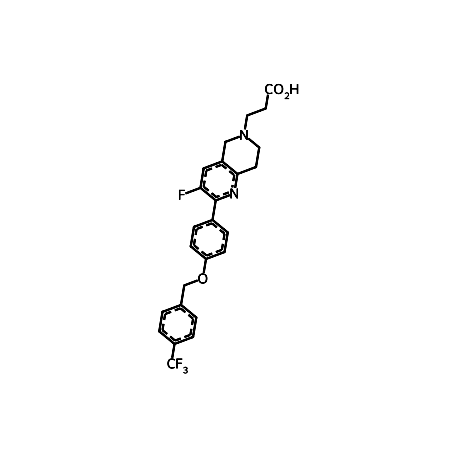 O=C(O)CCN1CCc2nc(-c3ccc(OCc4ccc(C(F)(F)F)cc4)cc3)c(F)cc2C1